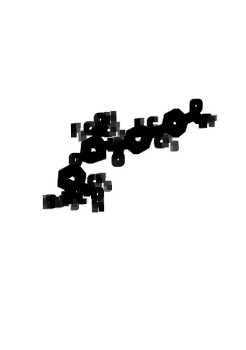 CCC(C)Nc1ccc(Oc2ccc(NC(=O)c3ccc(C(c4ccc(C(=O)C(C)C)cc4)(C(F)(F)F)C(F)(F)F)cc3)c(C(O)(C(F)(F)F)C(F)(F)F)c2)cc1C(O)(C(F)(F)F)C(F)(F)F